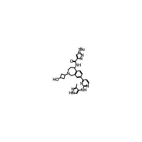 Cc1n[nH]cc1Nc1nccc(-c2ccc3c(c2)CN(C2CC(O)C2)CCC3NC(=O)c2cn(C(C)(C)C)nn2)n1